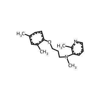 Cc1ccc(OCCCN(C)c2cccnc2C)c(C)c1